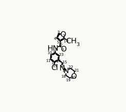 Cc1occc1C(=O)Nc1ccc(Cl)c(C=NN2CCOCC2)c1